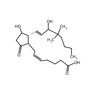 CCCCC(C)(C)C(O)/C=C/[C@H]1C(O)CC(=O)C1C/C=C\CCCC(=O)O